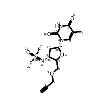 C#CCOCC1O[C@@H](n2cc(C)c(=O)[nH]c2=O)C[C@H]1N=S(=O)(F)F